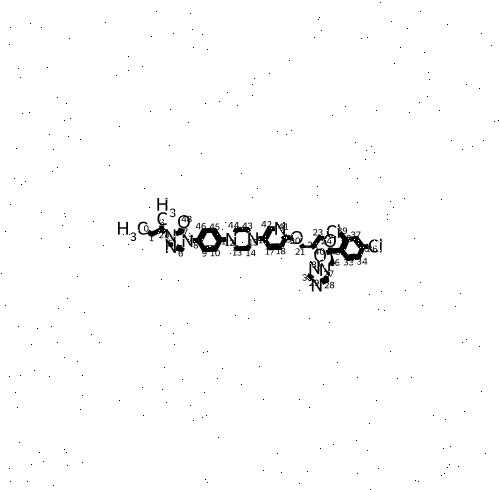 CCC(C)n1ncn(-c2ccc(N3CCN(c4ccc(OC[C@H]5CO[C@](Cn6cncn6)(c6ccc(Cl)cc6Cl)O5)nc4)CC3)cc2)c1=O